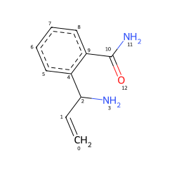 C=CC(N)c1ccccc1C(N)=O